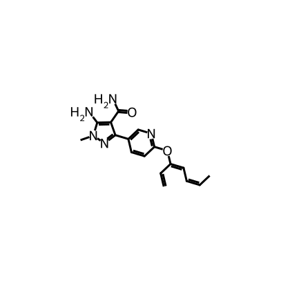 C=C/C(=C\C=C/C)Oc1ccc(-c2nn(C)c(N)c2C(N)=O)cn1